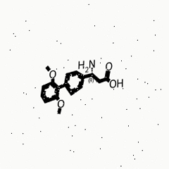 COc1cccc(OC)c1-c1ccc([C@H](N)CC(=O)O)cc1